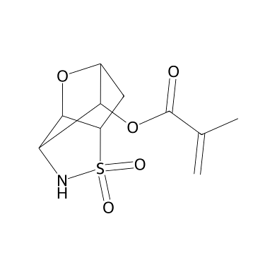 C=C(C)C(=O)OC1C2CC3C(O2)C1NS3(=O)=O